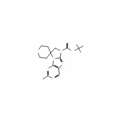 CC(C)(C)OC(=O)N1CC2(CCOCC2)n2c1nc1cnc(Cl)nc12